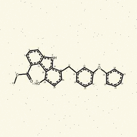 COC(=O)c1cccc2[nH]c3c(Cc4cccc(Oc5ccccc5)c4)ccc(O)c3c12